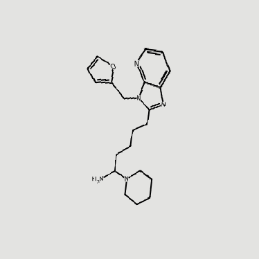 NC(CCCCc1nc2cccnc2n1Cc1ccco1)N1CCCCC1